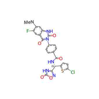 CNc1cc2[nH]c(=O)n(-c3ccc(C(=O)N[C@@H](c4noc(=O)[nH]4)c4ccc(Cl)s4)cc3)c(=O)c2cc1F